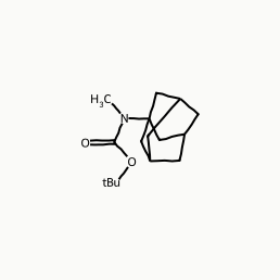 CN(C(=O)OC(C)(C)C)C12CC3CC(CC(C3)C1)C2